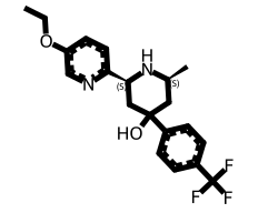 CCOc1ccc([C@@H]2CC(O)(c3ccc(C(F)(F)F)cc3)C[C@H](C)N2)nc1